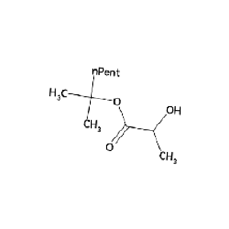 CCCCCC(C)(C)OC(=O)C(C)O